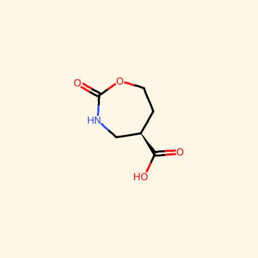 O=C1NC[C@H](C(=O)O)CCO1